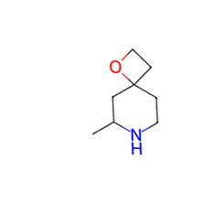 CC1CC2(CCN1)CCO2